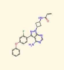 C=CC(=O)N[C@H]1C[C@@H](n2nc(-c3ccc(Oc4ccccc4)cc3F)c3c(N)ncnc32)C1